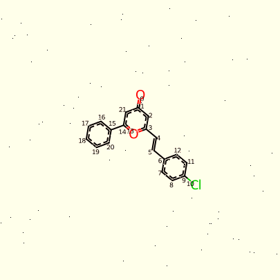 O=c1cc(C=Cc2ccc(Cl)cc2)oc(-c2ccccc2)c1